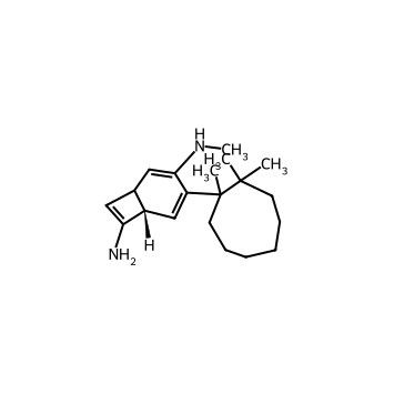 CNC1=CC2C=C(N)[C@H]2C=C1C1(C)CCCCCCC1(C)C